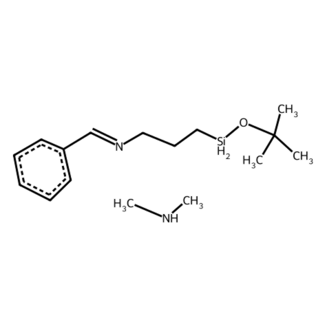 CC(C)(C)O[SiH2]CCCN=Cc1ccccc1.CNC